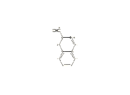 O=CC1Cc2ccccc2C=N1